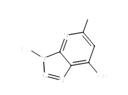 Cc1cc(Cl)nc2c1nnn2C